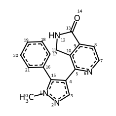 Cn1ncc(-c2nccc3c2CNC3=O)c1-c1ccccc1